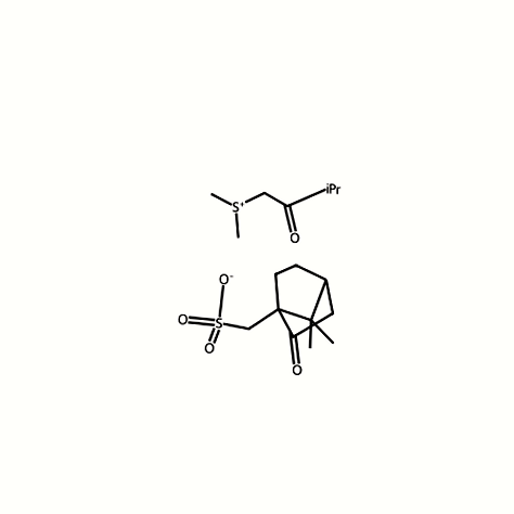 CC(C)C(=O)C[S+](C)C.CC1(C)C2CCC1(CS(=O)(=O)[O-])C(=O)C2